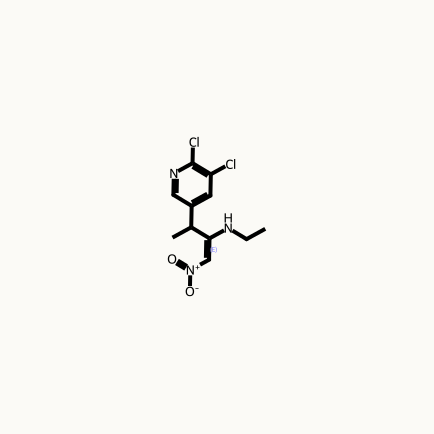 CCN/C(=C/[N+](=O)[O-])C(C)c1cnc(Cl)c(Cl)c1